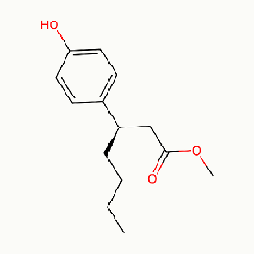 CCCC[C@H](CC(=O)OC)c1ccc(O)cc1